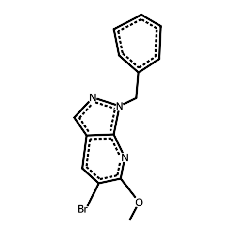 COc1nc2c(cnn2Cc2ccccc2)cc1Br